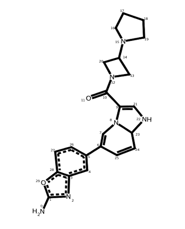 Nc1nc2cc(C3=CN4C(C(=O)N5CC(N6CCCC6)C5)=CNC4C=C3)ccc2o1